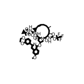 COc1ccc2c(OC3C[C@H]4C(=O)N[C@]5(C(=O)NS(=O)(=O)C6(C)CC6)CC5/C=C\CC[C@@H](C)C[C@@H](C)[C@H](NC(=O)OC(C)(C)C(F)(F)F)C(=O)N4C3)nc(-c3ccc4c(c3)OCCO4)cc2c1